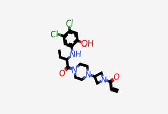 C=CC(=O)N1CC(N2CCN(C(=O)C(CC)Nc3cc(Cl)c(Cl)cc3O)CC2)C1